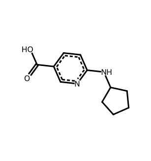 O=C(O)c1ccc(NC2CCCC2)nc1